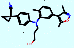 Cc1ccc(-c2c(C)noc2C)cc1N(CCCO)c1ccc(C2(C#N)CC2)cc1